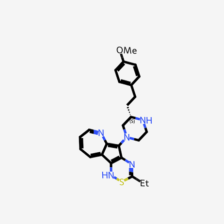 CCC1=Nc2c(c3ccccnc-3c2N2CCN[C@@H](CCc3ccc(OC)cc3)C2)NS1